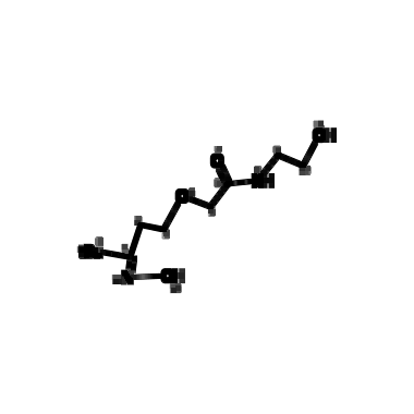 CC(C)(C)/C(CCOCC(=O)NCCO)=N/O